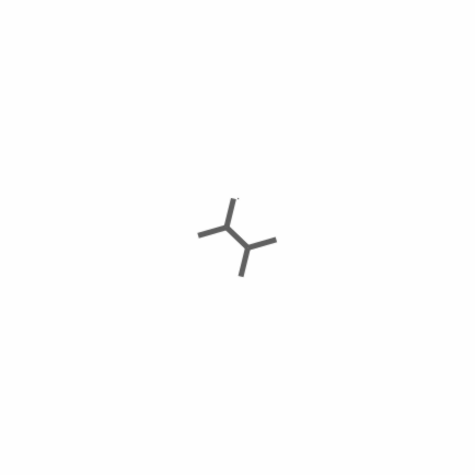 [CH2]C(C)C(C)C